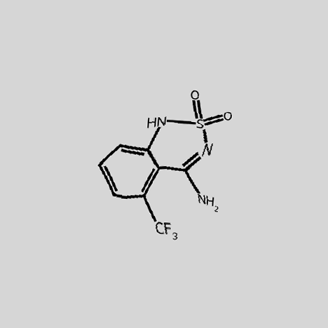 NC1=NS(=O)(=O)Nc2cccc(C(F)(F)F)c21